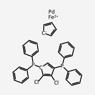 Clc1c(P(c2ccccc2)c2ccccc2)c[c-](P(c2ccccc2)c2ccccc2)c1Cl.[Fe+2].[Pd].c1cc[cH-]c1